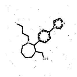 CCCCN1CCCCC(CO)C1c1ccc(-n2ccnc2)cc1